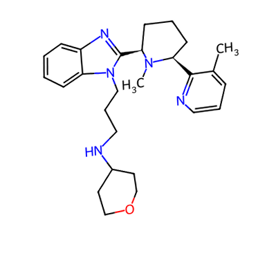 Cc1cccnc1[C@@H]1CCC[C@H](c2nc3ccccc3n2CCCNC2CCOCC2)N1C